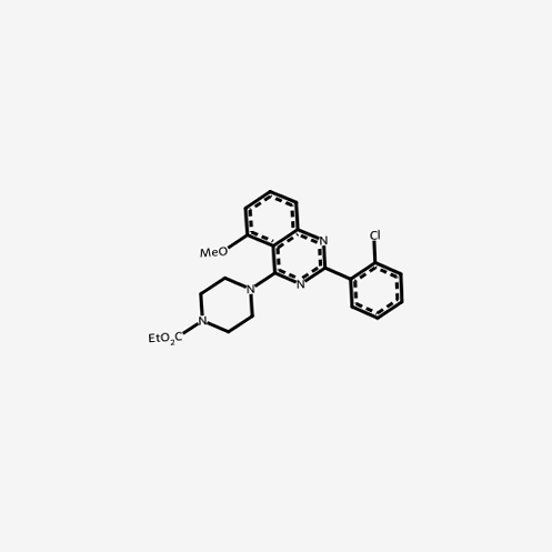 CCOC(=O)N1CCN(c2nc(-c3ccccc3Cl)nc3cccc(OC)c23)CC1